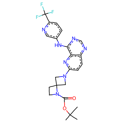 CC(C)(C)OC(=O)N1CCC12CN(c1ccc3ncnc(Nc4ccc(C(F)(F)F)nc4)c3n1)C2